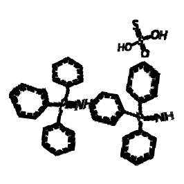 N=P(c1ccccc1)(c1ccccc1)c1ccccc1.N=P(c1ccccc1)(c1ccccc1)c1ccccc1.O=S(O)(O)=S